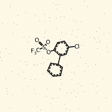 O=S(=O)(Oc1ccc(Cl)cc1-c1ccccc1)C(F)(F)F